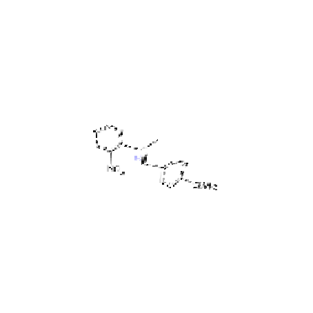 COc1ccc(/C=C(\C)c2ccccc2[N+](=O)[O-])cc1